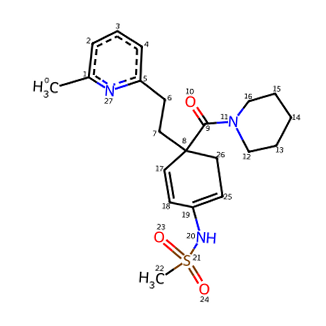 Cc1cccc(CCC2(C(=O)N3CCCCC3)C=CC(NS(C)(=O)=O)=CC2)n1